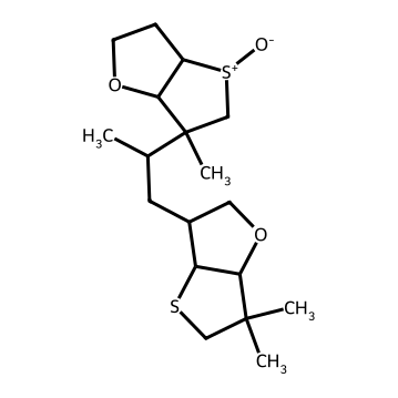 CC(CC1COC2C1SCC2(C)C)C1(C)C[S+]([O-])C2CCOC21